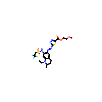 CCN1c2cc(NS(=O)(=O)CC(F)(F)F)c(N=Nc3nnc(C(=O)OCCOC)s3)cc2CCC1C